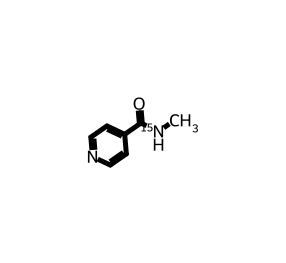 C[15NH]C(=O)c1ccncc1